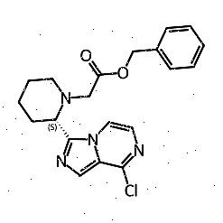 O=C(CN1CCCC[C@H]1c1ncc2c(Cl)nccn12)OCc1ccccc1